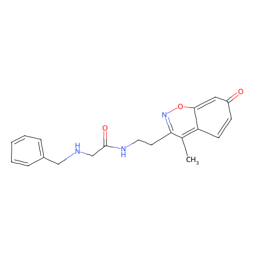 Cc1c2ccc(=O)cc-2onc1CCNC(=O)CNCc1ccccc1